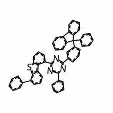 c1ccc(-c2nc(-c3cccc(C4(c5ccccc5)c5ccccc5-c5ccccc54)c3)nc(-c3cccc4sc5c(-c6ccccc6)cccc5c34)n2)cc1